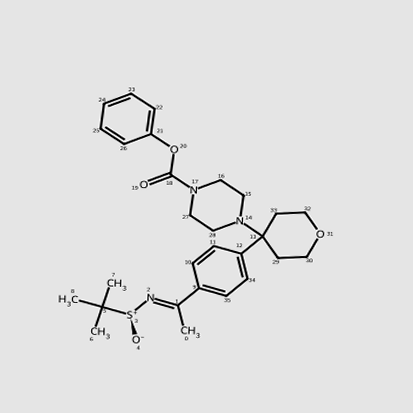 C/C(=N\[S@@+]([O-])C(C)(C)C)c1ccc(C2(N3CCN(C(=O)Oc4ccccc4)CC3)CCOCC2)cc1